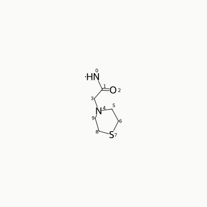 [NH]C(=O)CN1CCSCC1